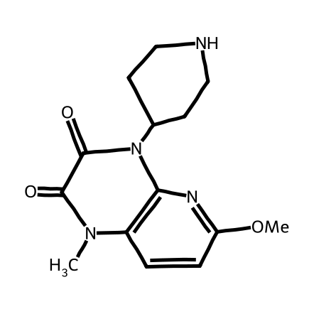 COc1ccc2c(n1)n(C1CCNCC1)c(=O)c(=O)n2C